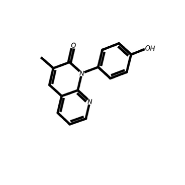 Cc1cc2cccnc2n(-c2ccc(O)cc2)c1=O